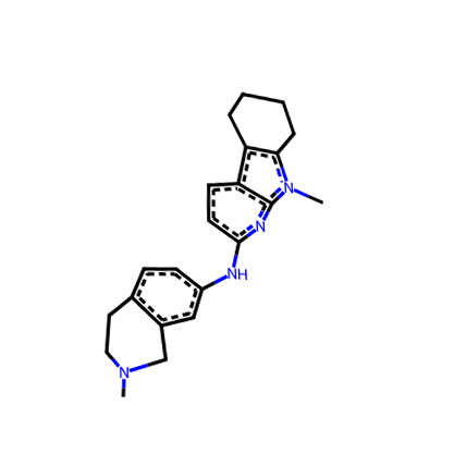 CN1CCc2ccc(Nc3ccc4c5c(n(C)c4n3)CCCC5)cc2C1